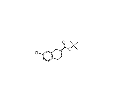 CC(C)(C)OC(=O)N1CCc2ccc(Cl)cc2C1